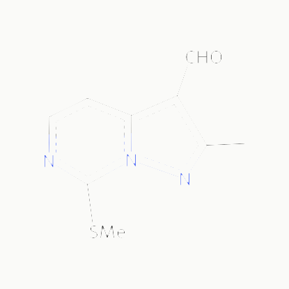 CSc1nccc2c(C=O)c(C)nn12